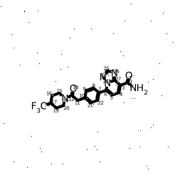 NC(=O)c1ccc(-c2ccc(CC(=O)N3CCC(C(F)(F)F)CC3)cc2)n2n[c]nc12